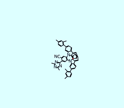 Cc1ccc(-c2ccc3c4ccccc4n(-c4cc(C#N)c(-c5nc(C)nc(C)n5)cc4-n4c5ccccc5c5ccc(-c6ccc(C)cc6C)cc54)c3c2)c(C)c1